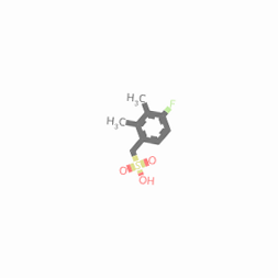 Cc1c(F)ccc(CS(=O)(=O)O)c1C